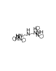 C1CCC(N=C(NCCCNCCCNC(=NC2CCCCC2)NC2CCCCC2)NC2CCCCC2)CC1